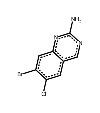 Nc1ncc2cc(Cl)c(Br)cc2n1